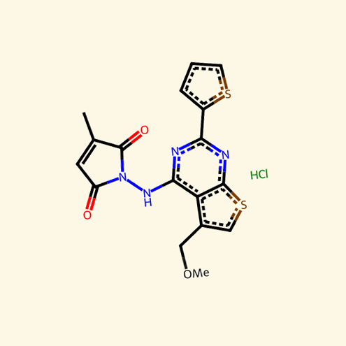 COCc1csc2nc(-c3cccs3)nc(NN3C(=O)C=C(C)C3=O)c12.Cl